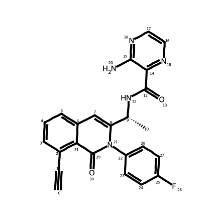 C#Cc1cccc2cc([C@@H](C)NC(=O)c3nccnc3N)n(-c3ccc(F)cc3)c(=O)c12